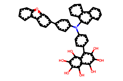 Oc1c(O)c(O)c2c(-c3ccc(N(c4ccc(-c5ccc6c(c5)oc5ccccc56)cc4)c4cc5ccccc5c5ccccc45)cc3)c(O)c(O)c(O)c2c1O